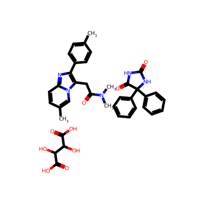 Cc1ccc(-c2nc3ccc(C)cn3c2CC(=O)N(C)C)cc1.O=C(O)C(O)C(O)C(=O)O.O=C1NC(=O)C(c2ccccc2)(c2ccccc2)N1